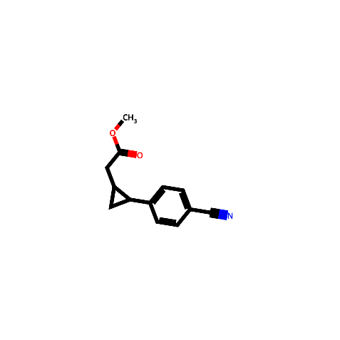 COC(=O)CC1CC1c1ccc(C#N)cc1